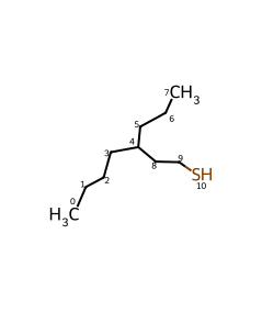 CCCCC(CCC)CCS